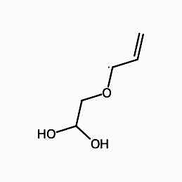 C=C[CH]OCC(O)O